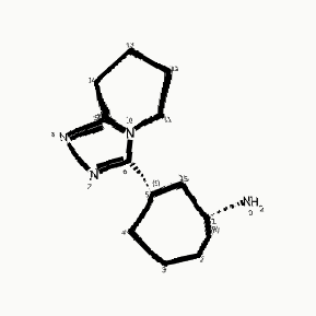 N[C@@H]1CCC[C@H](c2nnc3n2CCCC3)C1